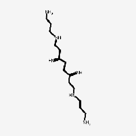 N=C(CCNCCCN)CCC(=N)CCNCCCN